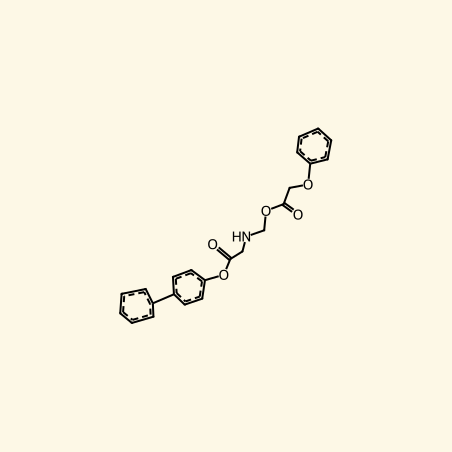 O=C(COc1ccccc1)OCNCC(=O)Oc1ccc(-c2ccccc2)cc1